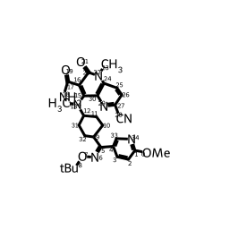 COc1ccc(/C(=N/OC(C)(C)C)C2CCC(N(C)c3c(C(N)=O)c(=O)n(C)c4ccc(C#N)nc34)CC2)cn1